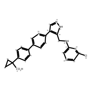 O=C(O)C1(c2ccc(-c3ccc(-c4cn[nH]c4CNc4cncc(Cl)n4)nc3)cc2)CC1